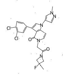 Cn1cc(-n2cc(-c3ccc(Cl)c(Cl)c3)c3c(=O)n(CC(=O)N4CC(C)(F)C4)ccc32)cn1